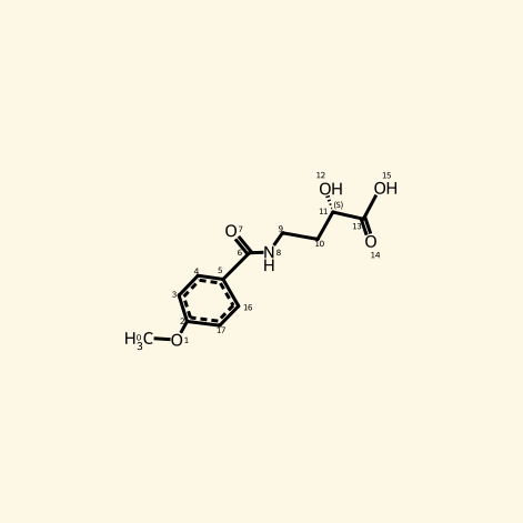 COc1ccc(C(=O)NCC[C@H](O)C(=O)O)cc1